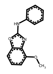 COc1cccc2oc(Nc3ccccc3)nc12